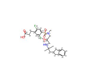 CN(C[C@H](O)CNC(C)(C)CC1Cc2ccccc2C1)S(=O)(=O)c1cc(F)c(CCC(=O)O)cc1F